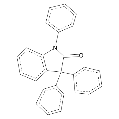 O=C1N(c2ccccc2)c2ccccc2C1(c1ccccc1)c1ccccc1